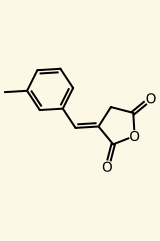 Cc1cccc(/C=C2\CC(=O)OC2=O)c1